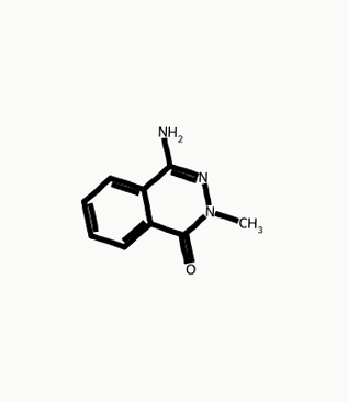 Cn1nc(N)c2ccccc2c1=O